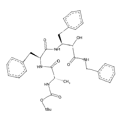 C[C@H](NC(=O)OC(C)(C)C)C(=O)N[C@@H](Cc1ccccc1)C(=O)N[C@@H](Cc1ccccc1)C(O)C(=O)NCc1ccccc1